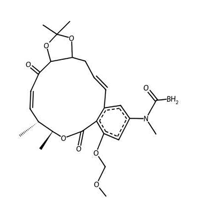 BC(=O)N(C)c1cc2c(c(OCOC)c1)C(=O)O[C@@H](C)[C@H](C)/C=C\C(=O)C1OC(C)(C)OC1C/C=C/2